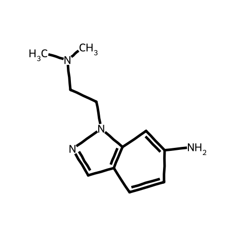 CN(C)CCn1ncc2ccc(N)cc21